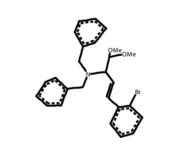 COC(OC)C(C=Cc1ccccc1Br)N(Cc1ccccc1)Cc1ccccc1